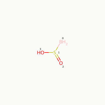 BS(=O)O